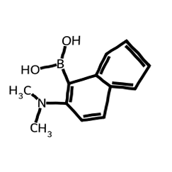 CN(C)c1ccc2ccccc2c1B(O)O